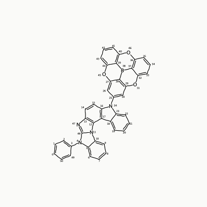 c1ccc(-n2c3ccccc3n3c4c(ccc5c4c4ccccc4n5-c4cc5c6c(c4)Oc4cccc7c4B6c4c(cccc4O5)O7)nc23)cc1